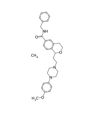 C.COc1ccc(N2CCN(CCC3OCCc4cc(C(=O)NCc5ccccc5)ccc43)CC2)cc1